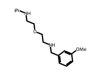 COc1cccc(CNCCOCCNC(C)C)c1